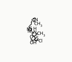 Cc1nccn1CCCn1cc([C@@H]2C[C@]3(C[C@H](C)N2)OC[C@@H](O)c2cc(Cl)sc23)nn1